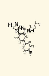 CCCCNc1nc(N)nc2ccc(-c3ccc(F)cc3)cc12